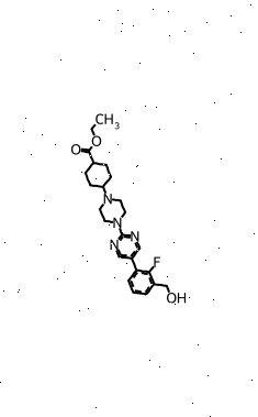 CCOC(=O)C1CCC(N2CCN(c3ncc(-c4cccc(CO)c4F)cn3)CC2)CC1